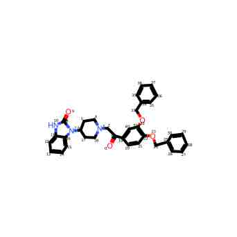 O=C(CN1CCC(n2c(=O)[nH]c3ccccc32)CC1)c1ccc(OCc2ccccc2)c(OCc2ccccc2)c1